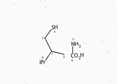 CC(C)C(C)CS.NC(=O)O